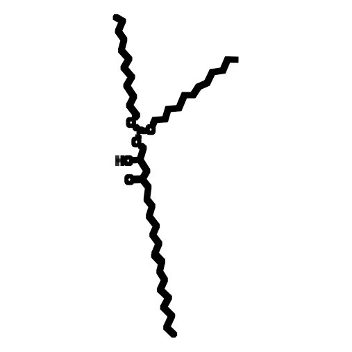 CCCCCCCCC=CCCCCCCCC(=O)CC(O)COP(OCCCCCCCCCCCC)OCCCCCCCCCCCC